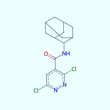 O=C(NC1C2CC3CC(C2)CC1C3)c1cc(Cl)nnc1Cl